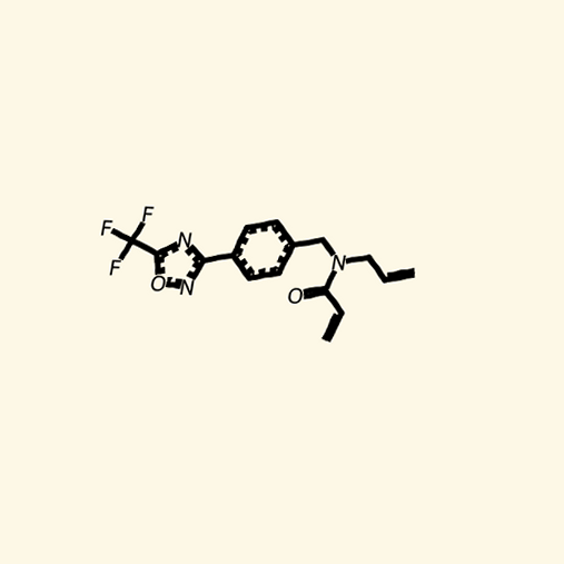 C=CCN(Cc1ccc(-c2noc(C(F)(F)F)n2)cc1)C(=O)C=C